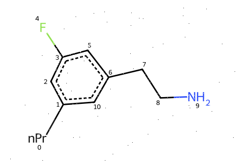 CCCc1cc(F)cc(CCN)c1